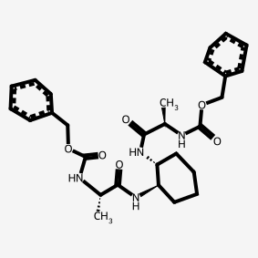 C[C@H](NC(=O)OCc1ccccc1)C(=O)N[C@@H]1CCCC[C@H]1NC(=O)[C@@H](C)NC(=O)OCc1ccccc1